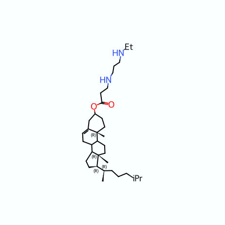 CCNCCCNCCC(=O)OC1CC[C@@]2(C)C(=CCC3C2CC[C@@]2(C)C3CC[C@@H]2[C@H](C)CCCC(C)C)C1